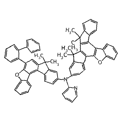 CC1(C)c2cc(N(c3ccc4c(c3)C(C)(C)c3c5c(c6c(oc7ccccc76)c3-4)-c3ccccc3C5(C)C)c3ccccn3)ccc2-c2c1cc(-c1ccccc1-c1ccccc1)c1oc3ccccc3c21